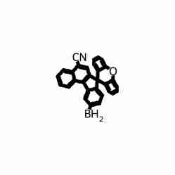 Bc1ccc2c(c1)-c1c(cc(C#N)c3ccccc13)C21c2ccccc2Oc2ccccc21